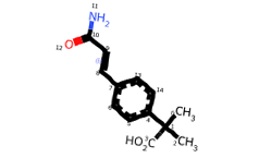 CC(C)(C(=O)O)c1ccc(/C=C/C(N)=O)cc1